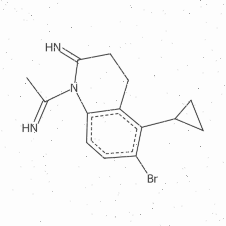 CC(=N)N1C(=N)CCc2c1ccc(Br)c2C1CC1